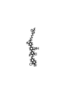 C=CC(=O)OCCCCCCOc1ccc(-c2ccc(-c3cc(F)c(CCc4ccc5c(Cl)c(Br)ccc5c4)c(Cl)c3)c(C=N)c2)cc1F